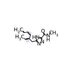 C=C/C=C\C(=C/C)Cc1nnc(C(=O)NC)[nH]1